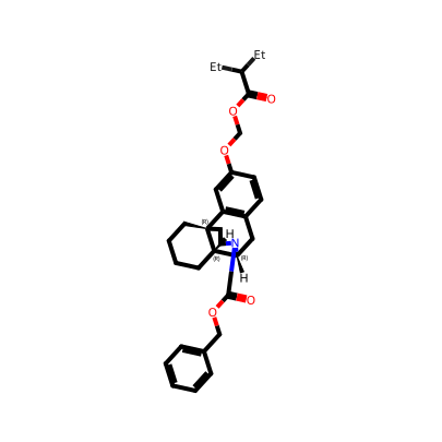 CCC(CC)C(=O)OCOc1ccc2c(c1)[C@@]13CCCC[C@H]1[C@@H](C2)N(C(=O)OCc1ccccc1)CC3